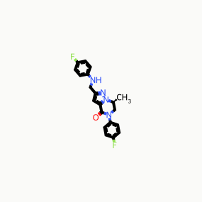 C[C@H]1CN(c2ccc(F)cc2)C(=O)c2cc(CNc3ccc(F)cc3)nn21